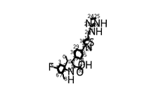 CCc1cc(F)cc(C)c1NC(Cc1ccc(-c2cc(CNc3ncc[nH]3)sn2)cc1)C(=O)O